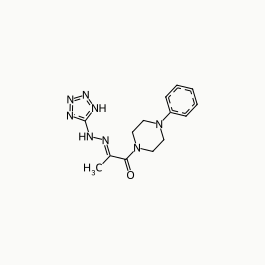 CC(=NNc1nnn[nH]1)C(=O)N1CCN(c2ccccc2)CC1